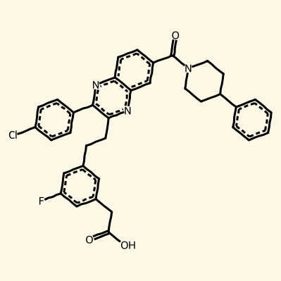 O=C(O)Cc1cc(F)cc(CCc2nc3cc(C(=O)N4CCC(c5ccccc5)CC4)ccc3nc2-c2ccc(Cl)cc2)c1